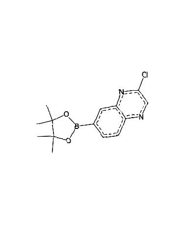 CC1(C)OB(c2ccc3ncc(Cl)nc3c2)OC1(C)C